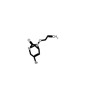 C=CCON1C(=O)N2CC(Br)=CC1C2